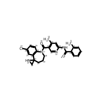 Cc1ccccc1C(=O)Nc1cc(C)c(C(=O)N2CCCC3(CN3)c3cc(Cl)ccc32)cn1